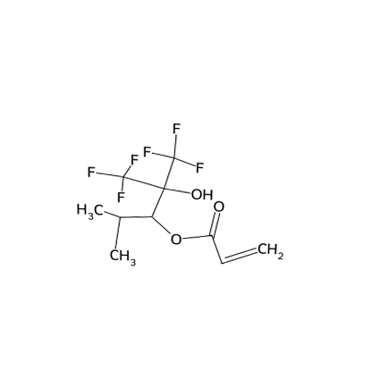 C=CC(=O)OC(C(C)C)C(O)(C(F)(F)F)C(F)(F)F